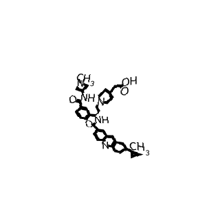 CN1CC(NC(=O)c2cccc([C@@H](CCN3CCC(CC(=O)O)CC3)NC(=O)c3ccc4nc5c(cc4c3)CC(C3(C)CC3)CC5)c2)C1